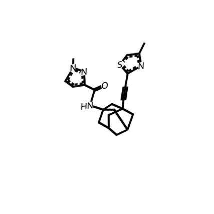 Cc1csc(C#CC23CC4CC(C2)CC(NC(=O)c2ccn(C)n2)(C4)C3)n1